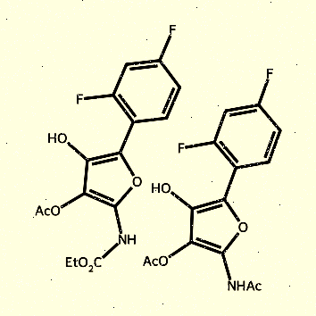 CC(=O)Nc1oc(-c2ccc(F)cc2F)c(O)c1OC(C)=O.CCOC(=O)Nc1oc(-c2ccc(F)cc2F)c(O)c1OC(C)=O